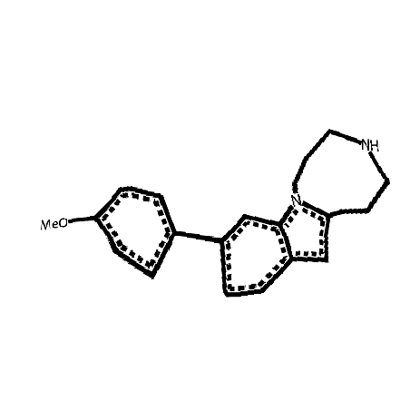 COc1ccc(-c2ccc3cc4n(c3c2)CCNCC4)cc1